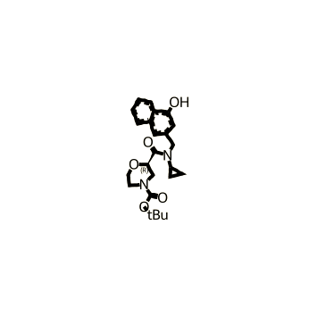 CC(C)(C)OC(=O)N1CCO[C@@H](C(=O)N(Cc2cc(O)c3ccccc3c2)C2CC2)C1